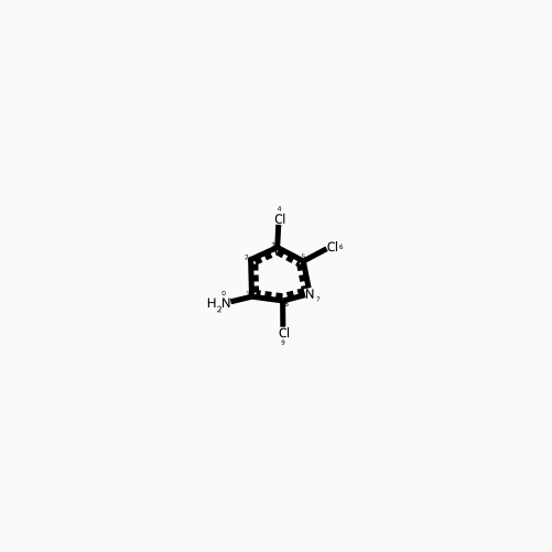 Nc1cc(Cl)c(Cl)nc1Cl